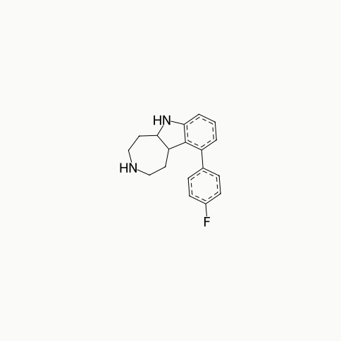 Fc1ccc(-c2cccc3c2C2CCNCCC2N3)cc1